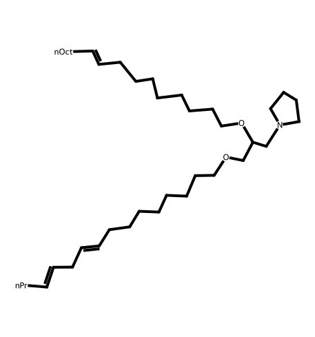 CCCC=CCC=CCCCCCCCCOCC(CN1CCCC1)OCCCCCCCCC=CCCCCCCCC